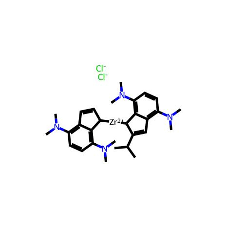 CC(C)C1=Cc2c(N(C)C)ccc(N(C)C)c2[CH]1[Zr+2][CH]1C=Cc2c(N(C)C)ccc(N(C)C)c21.[Cl-].[Cl-]